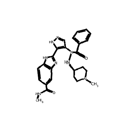 CNC(=O)c1ccc2[nH]c(-c3[nH]ncc3N(NC3CCN(C)CC3)C(=O)c3ccccc3)nc2c1